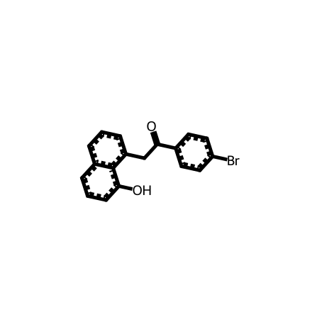 O=C(Cc1cccc2cccc(O)c12)c1ccc(Br)cc1